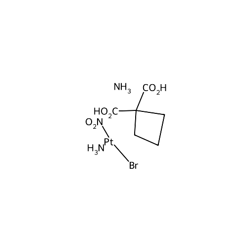 N.N.O=C(O)C1(C(=O)O)CCC1.O=[N+]([O-])[Pt][Br]